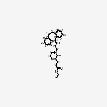 CCOC(=O)CCC1CCCN(CCC=C2c3ccccc3CCc3ccccc32)C1